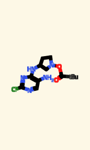 CC(C)(C)C(=O)ON1CCC(Nc2nc(Cl)ncc2N)C1